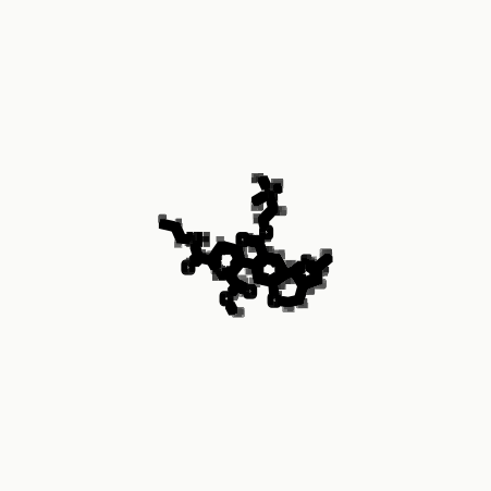 CCCNC(=O)c1ccc(-c2cc3c(cc2C(=O)OCC[Si](C)(C)C)-c2sc(C)cc2CCO3)c(C(=O)OC)n1